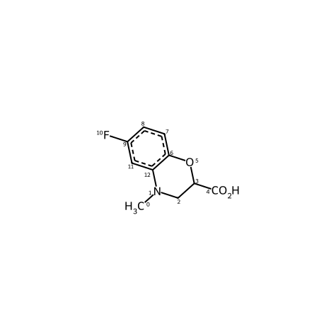 CN1CC(C(=O)O)Oc2ccc(F)cc21